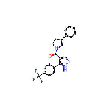 O=C(c1cn[nH]c1-c1ccc(C(F)(F)F)cc1)N1CCC(c2ccccc2)C1